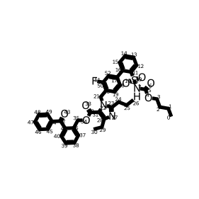 CCCCOC(=O)NS(=O)(=O)c1ccccc1-c1ccc(Cn2c(CCC)nc(CC)c2C(=O)OCc2ccccc2C(=O)c2ccccc2)c(F)c1